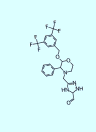 O=CC1NN=C(CN2CCOC(OCc3cc(C(F)(F)F)cc(C(F)(F)F)c3)C2c2ccccc2)N1